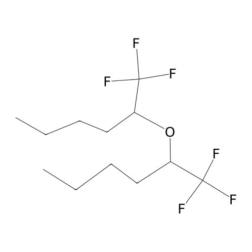 CCCCC(OC(CCCC)C(F)(F)F)C(F)(F)F